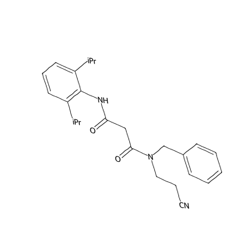 CC(C)c1cccc(C(C)C)c1NC(=O)CC(=O)N(CCC#N)Cc1ccccc1